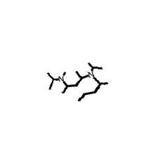 CCCC(C)N(C(C)C)C(C)CC(C)N(C)C(C)C